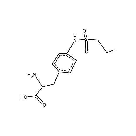 NC(Cc1ccc(NS(=O)(=O)CCI)cc1)C(=O)O